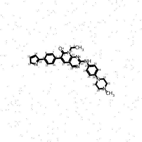 CCn1c(=O)c(-c2ccc(C3=NCC=C3)cc2)cc2cnc(Nc3ccc(N4CCN(C)CC4)cc3)nc21